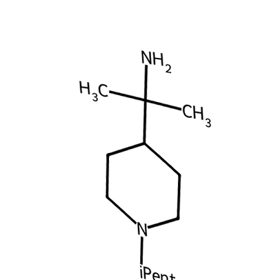 CCCC(C)N1CCC(C(C)(C)N)CC1